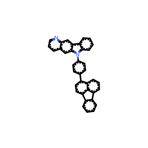 c1ccc2c(c1)-c1cccc3c(-c4ccc(-n5c6ccccc6c6cc7ncccc7cc65)cc4)ccc-2c13